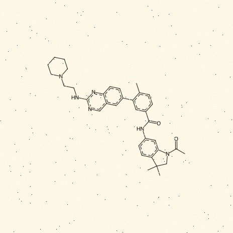 CC(=O)N1CC(C)(C)c2ccc(NC(=O)c3ccc(C)c(-c4ccc5nc(NCCN6CCCCC6)ncc5c4)c3)cc21